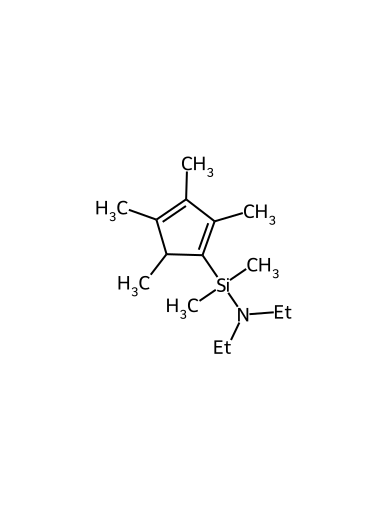 CCN(CC)[Si](C)(C)C1=C(C)C(C)=C(C)C1C